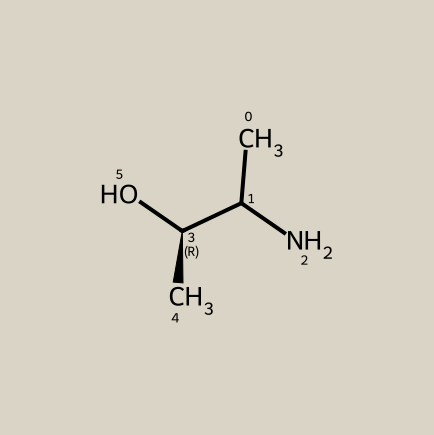 CC(N)[C@@H](C)O